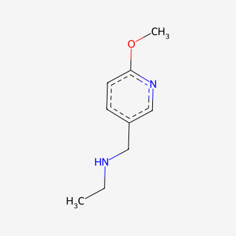 CCNCc1ccc(OC)nc1